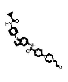 O=CCN1CCN(c2ccc(C(=O)Nc3ccc4c(ccn4-c4ccc(NC(=O)C5CC5)cc4)c3)cc2)CC1